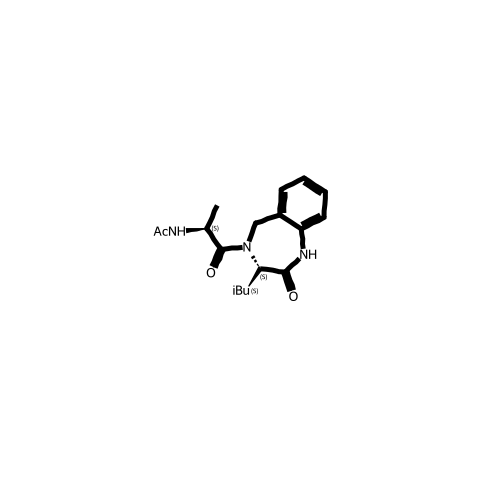 CC[C@H](C)[C@H]1C(=O)Nc2ccccc2CN1C(=O)[C@H](C)NC(C)=O